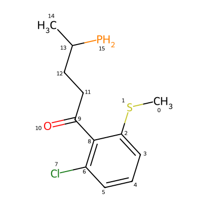 CSc1cccc(Cl)c1C(=O)CCC(C)P